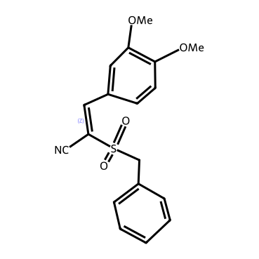 COc1ccc(/C=C(/C#N)S(=O)(=O)Cc2ccccc2)cc1OC